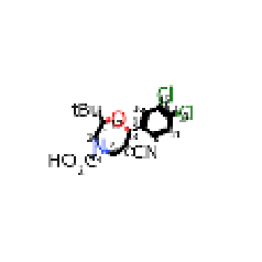 CC(C)(C)C1CN(C(=O)O)C[C@@H](C#N)[C@H](c2ccc(Cl)c(Cl)c2)O1